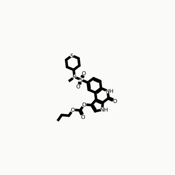 CCCOC(=O)Oc1c[nH]c2c(=O)[nH]c3ccc(S(=O)(=O)N(C)C4CCSCC4)cc3c12